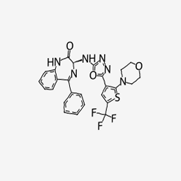 O=C1Nc2ccccc2C(c2ccccc2)=N[C@@H]1Nc1nnc(-c2cc(C(F)(F)F)sc2N2CCOCC2)o1